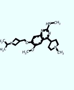 CNc1nc(C2CCN(C)CC2)c2cc(OC)c(OCC3CN(C(C)C)C3)cc2n1